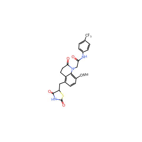 COc1ccc(CC2SC(=O)NC2=O)c2c1N(CC(=O)Nc1ccc(C(F)(F)F)cc1)C(=O)CC2